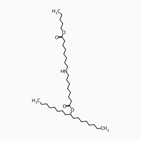 CCCCCCCCC(CCCCCCCC)OC(=O)CCCCCCCNCCCCCCCC(=O)OCCCCC